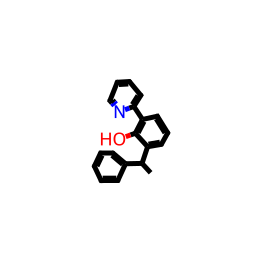 CC(c1ccccc1)c1cccc(-c2ccccn2)c1O